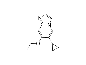 CCOc1cc2nccn2cc1C1CC1